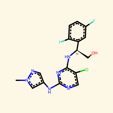 Cn1cc(Nc2ncc(Cl)c(N[C@H](CO)c3cc(F)ccc3F)n2)cn1